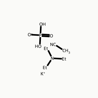 CC#N.CCN(CC)CC.O=P([O-])(O)O.[K+]